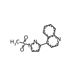 CS(=O)(=O)n1ccc(-c2ccnc3ccccc23)n1